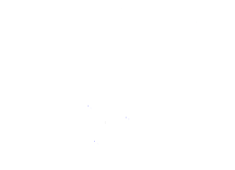 Cn1c(=N)n(CCOc2ccc(Cl)cc2Cl)c2ccccc21